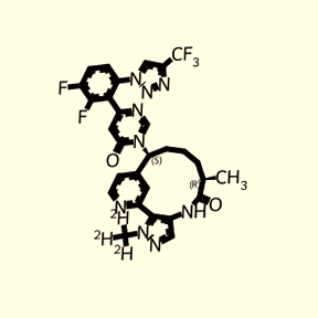 [2H]C([2H])([2H])n1ncc2c1-c1cc(ccn1)[C@@H](n1cnc(-c3c(-n4cc(C(F)(F)F)nn4)ccc(F)c3F)cc1=O)CCC[C@@H](C)C(=O)N2